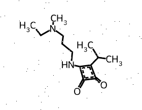 CCN(C)CCCNc1c(C(C)C)c(=O)c1=O